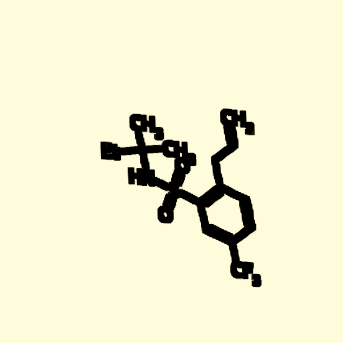 C=CCc1ccc(C(F)(F)F)cc1S(=O)(=O)NC(C)(C)CC